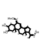 CO/N=C1/C=C2C3=CCC(/C(C)=N\O)C3(C)CCC2C2(C)CC(O)C(O)CC12